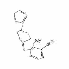 C#Cc1nccc(C=C2CCC(c3ccccc3)CC2)c1OC